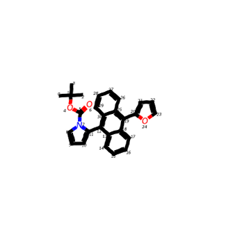 CC(C)(C)OC(=O)n1cccc1-c1c2ccccc2c(-c2ccco2)c2ccccc12